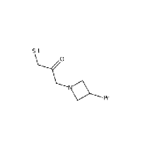 CC(C)C1CN(CC(=O)CS)C1